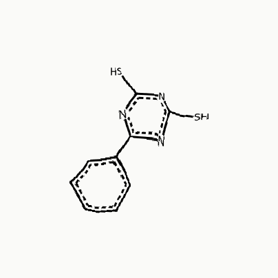 Sc1nc(S)nc(-c2ccccc2)n1